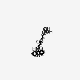 O=C(CCC(=O)OCCCCON(O)O)Nc1c2c(nc3ccccc13)CCCC2